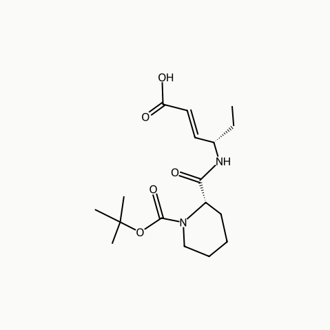 CC[C@@H](/C=C/C(=O)O)NC(=O)[C@@H]1CCCCN1C(=O)OC(C)(C)C